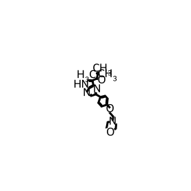 CC(C)(C)C(=O)c1c[nH]c2ncc(-c3ccc(OCCN4CCOCC4)cc3)nc12